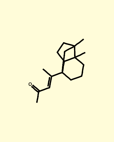 CC(=O)/C=C(\C)C12CCCC3(C)C1CCC3(C)C2